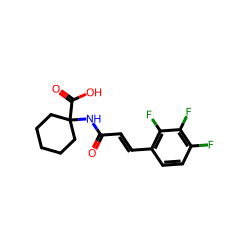 O=C(C=Cc1ccc(F)c(F)c1F)NC1(C(=O)O)CCCCC1